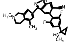 CNC1(c2cc(F)c(-c3cc4c(-c5cc(C)c6c(c5)CN(C)CC6)n[nH]c4cc3C#N)c(F)c2)CC1